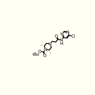 C[C@@H]1CN(CCC(=O)Nc2cc(Cl)ncn2)C[C@H](C)N1C(=O)OC(C)(C)C